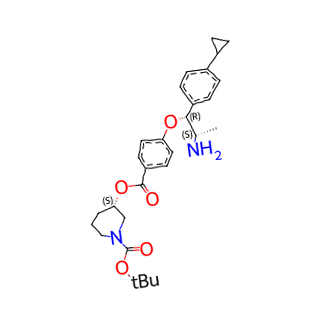 C[C@H](N)[C@H](Oc1ccc(C(=O)O[C@H]2CCCN(C(=O)OC(C)(C)C)C2)cc1)c1ccc(C2CC2)cc1